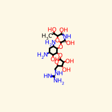 C[C@@H](O)C1OC(OC2C(N)CC(N)C(O)C2OC2OC(CNC(=N)N)C(O)C2O)[C@H](O)N[C@@H]1O